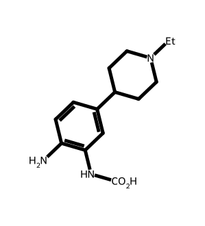 CCN1CCC(c2ccc(N)c(NC(=O)O)c2)CC1